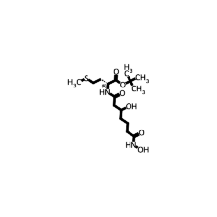 CSCC[C@@H](NC(=O)CC(O)CCCC(=O)NO)C(=O)OC(C)(C)C